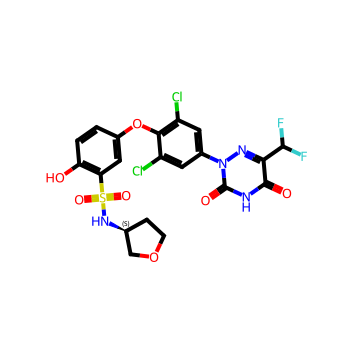 O=c1[nH]c(=O)n(-c2cc(Cl)c(Oc3ccc(O)c(S(=O)(=O)N[C@H]4CCOC4)c3)c(Cl)c2)nc1C(F)F